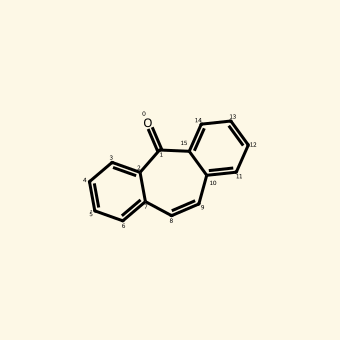 O=c1c2cc[c]cc2ccc2ccccc12